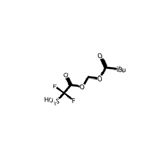 CCC(C)C(=O)OCOC(=O)C(F)(F)S(=O)(=O)O